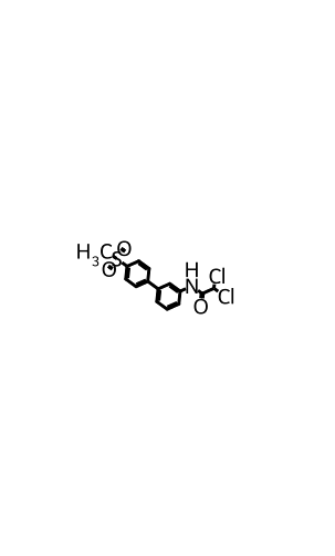 CS(=O)(=O)c1ccc(-c2cccc(NC(=O)C(Cl)Cl)c2)cc1